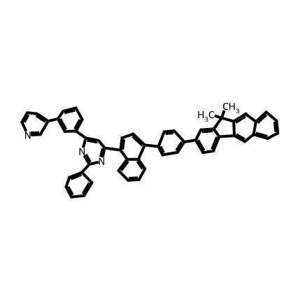 CC1(C)c2cc(-c3ccc(-c4ccc(-c5cc(-c6cccc(-c7cccnc7)c6)nc(-c6ccccc6)n5)c5ccccc45)cc3)ccc2-c2cc3ccccc3cc21